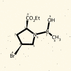 CCOC(=O)[C@@H]1C[C@H](Br)CN1B(C)O